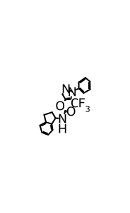 O=C(NC1CCc2ccccc21)Oc1cnn(-c2ccccc2)c1C(F)(F)F